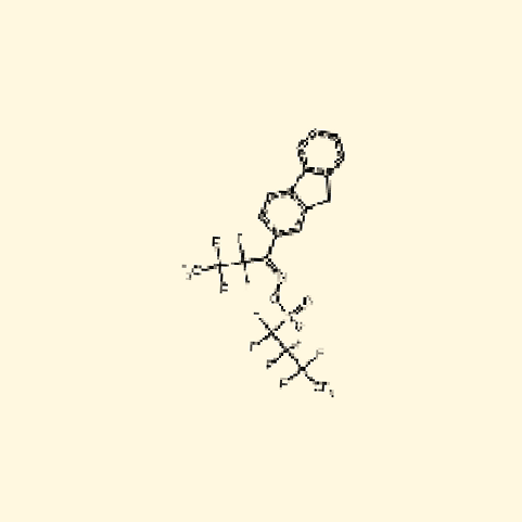 O=S(=O)(ON=C(c1ccc2c(c1)Cc1ccccc1-2)C(F)(F)C(F)(F)C(F)(F)F)C(F)(F)C(F)(F)C(F)(F)C(F)(F)F